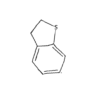 [c]1ccc2c(c1)SCC2